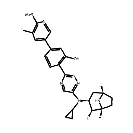 CSc1ncc(-c2ccc(-c3ncc(N(C4CC4)[C@H]4C[C@@H]5CC[C@@H](N5)[C@H]4F)nn3)c(O)c2)cc1F